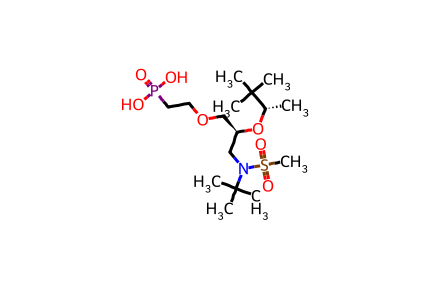 C[C@H](O[C@H](COCCP(=O)(O)O)CN(C(C)(C)C)S(C)(=O)=O)C(C)(C)C